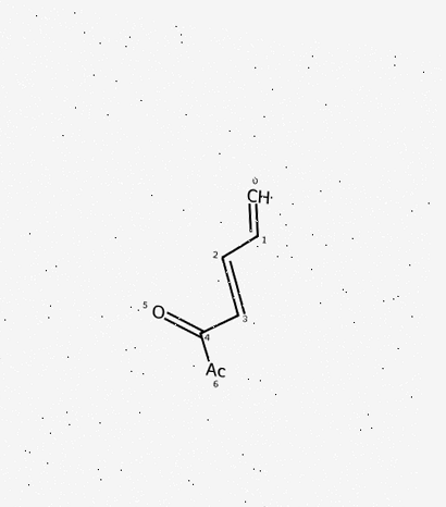 [CH]=CC=CC(=O)C(C)=O